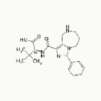 CC(C)(C)[C@H](NC(=O)c1nc(-c2ccccc2)n2c1CNCCC2)C(=O)O